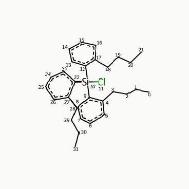 CCCCc1ccccc1[Si](Cl)(c1ccccc1CCCC)c1ccccc1CCCC